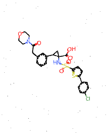 O=C(Cc1cccc(C2CC2(NS(=O)(=O)c2ccc(-c3ccc(Cl)cc3)s2)C(=O)O)c1)N1CCOCC1